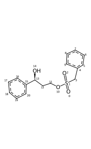 O=S(=O)(Cc1ccccc1)OCC[C@H](O)c1ccccc1